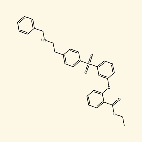 CCOC(=O)c1ccccc1Oc1cccc(S(=O)(=O)c2ccc(CCNCc3ccccc3)cc2)c1